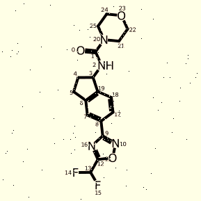 O=C(NC1CCc2cc(-c3noc(C(F)F)n3)ccc21)N1CCOCC1